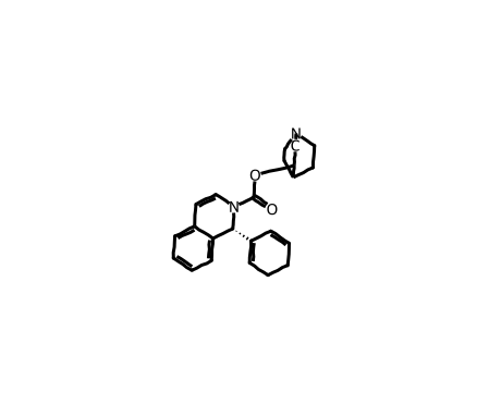 O=C(OC1CN2CCC1CC2)N1C=Cc2ccccc2[C@H]1C1=CCCC=C1